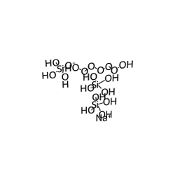 OOOOOOO.O[Si](O)(O)O.O[Si](O)(O)O.[Na+].[O-][Si](O)(O)O